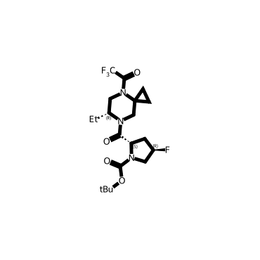 CC[C@@H]1CN(C(=O)C(F)(F)F)C2(CC2)CN1C(=O)[C@@H]1C[C@@H](F)CN1C(=O)OC(C)(C)C